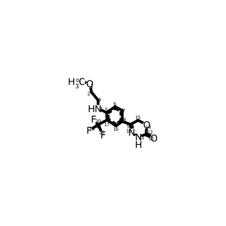 COCCNc1ccc(C2=NNC(=O)OC2)cc1C(F)(F)F